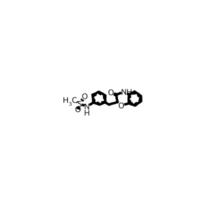 CS(=O)(=O)Nc1cccc(CC2Oc3ccccc3NC2=O)c1